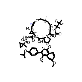 COc1ccc2c(O[C@@H]3C[C@H]4C(=O)N[C@]5(C(=O)NS(=O)(=O)C6(C)CC6)C[C@H]5/C=C\CC[C@H](C)C[C@@H](C)[C@H](N(C(=O)O)C(C)(C)C(C)(F)F)C(=O)N4C3)nc(-c3ccc(OC(C)C)cc3)c(OC)c2c1